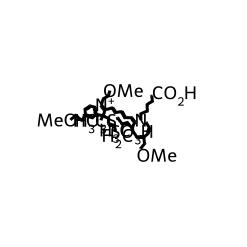 C=C1/C=C(CCOC)\C=C/CN(CCCCCC(=O)O)/C(=C/C=C/C=C/C2=[N+](CCOC)c3ccc(CCOC)cc3C2(C)CCCS(=O)(=O)O)C1(C)CCCS(=O)(=O)O